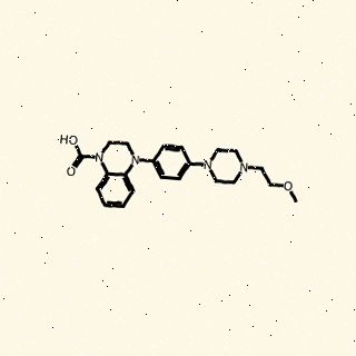 COCCN1CCN(c2ccc(N3CCN(C(=O)O)c4ccccc43)cc2)CC1